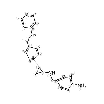 Nc1cnc(CN[C@H]2C[C@@H]2c2ccc(OCc3ccccc3)cc2)cn1